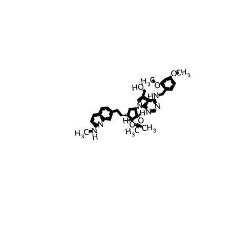 CNc1ccc2ccc(CC[C@H]3C[C@@H](n4cc(CO)c5c(NCc6ccc(OC)cc6OC)ncnc54)[C@@H]4OC(C)(C)O[C@H]34)cc2n1